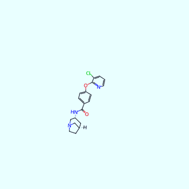 O=C(N[C@@H]1C[C@H]2CCN(C2)C1)c1ccc(Oc2ncccc2Cl)cc1